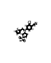 CS(=O)(=O)N1CC[C@H](N(Cc2cccs2)c2ccc(C#N)c(Cl)c2)C1